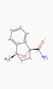 C[C@]12CC[C@](C(N)=O)(O1)c1ccccc12